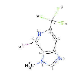 Cn1cnc2cc(C(F)(F)F)nc(I)c21